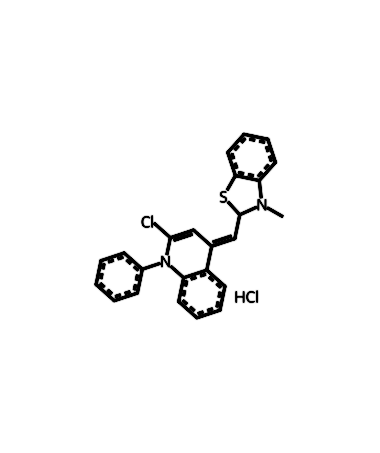 CN1c2ccccc2SC1C=C1C=C(Cl)N(c2ccccc2)c2ccccc21.Cl